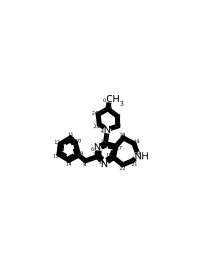 CC1CCN(c2nc(Cc3ccccc3)nc3c2CCNCC3)CC1